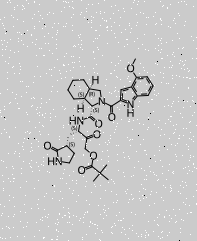 COc1cccc2[nH]c(C(=O)N3C[C@@H]4CCCC[C@@H]4[C@H]3C(=O)N[C@@H](C[C@@H]3CCNC3=O)C(=O)COC(=O)C(C)(C)C)cc12